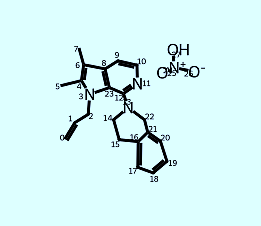 C=CCn1c(C)c(C)c2ccnc(N3CCc4ccccc4C3)c21.O=[N+]([O-])O